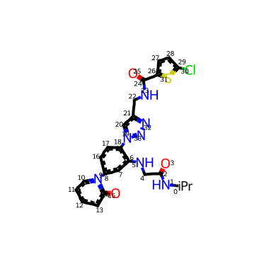 CC(C)NC(=O)CNc1cc(-n2ccccc2=O)ccc1-n1cc(CNC(=O)c2ccc(Cl)s2)nn1